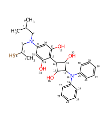 CC(C)CN(CC(C)S)c1cc(O)c(C2C(O)C(N(c3ccccc3)c3ccccc3)C2O)c(O)c1